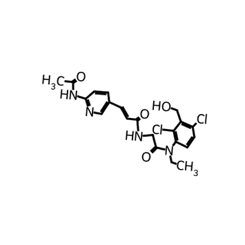 CCN(C(=O)CNC(=O)/C=C/c1ccc(NC(C)=O)nc1)c1ccc(Cl)c(CO)c1Cl